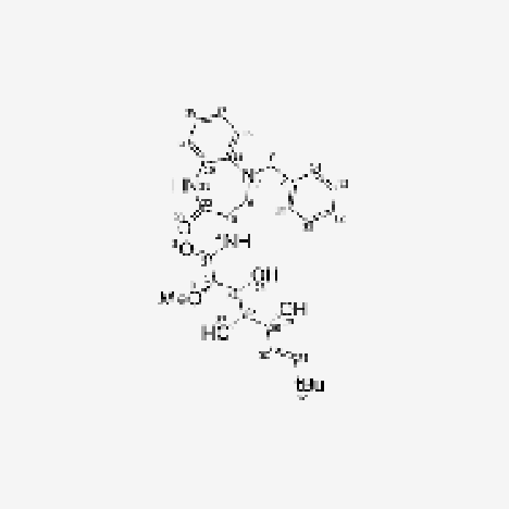 CO[C@@H](C(=O)N[C@H]1CN(Cc2ccccc2)c2ccccc2NC1=O)[C@H](O)[C@@H](O)[C@H](O)C=CC(C)(C)C